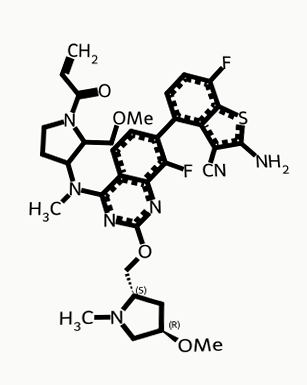 C=CC(=O)N1CCC(N(C)c2nc(OC[C@@H]3C[C@@H](OC)CN3C)nc3c(F)c(-c4ccc(F)c5sc(N)c(C#N)c45)ccc23)C1COC